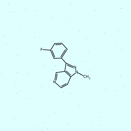 Cn1nc(-c2cccc(F)c2)c2cnccc21